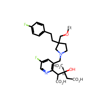 CCOCC1(CCc2ccc(F)cc2)CCN(Cc2cc(F)cnc2C(C(=O)O)[C@](O)(CC(=O)O)C(=O)O)C1